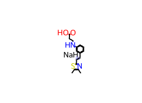 Cc1nc(/C=C/c2cccc(NCCC(=O)O)c2)sc1C.[NaH]